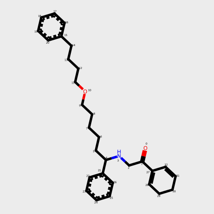 O=C(CNC(CCCCCOCCCCc1ccccc1)c1ccccc1)C1=CCCC=C1